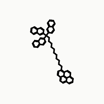 c1ccc2cc(C(CCCCCCCCCCCc3ccc4ccc5cccc6ccc3c4c56)(c3ccc4ccccc4c3)c3ccc4ccccc4c3)ccc2c1